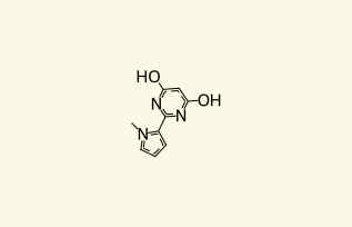 Cn1cccc1-c1nc(O)cc(O)n1